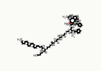 C#CCCCNC(=O)[C@H](CCCCNC(=O)CNC(=O)CNC(=O)CNC(=O)COCC(=O)O[C@@H](C(=O)O[C@H]1C[C@@]2(O)[C@@H](OC(=O)c3ccccc3)[C@@H]3[C@]4(OC(C)=O)CO[C@@H]4C[C@H](O)[C@@]3(C)C(=O)[C@H](OC(C)=O)C(=C1C)C2(C)C)[C@H](CC)NC(=O)c1ccccc1)NC(=O)CC/C=C\C/C=C\C/C=C\C/C=C\C/C=C\C/C=C\CC